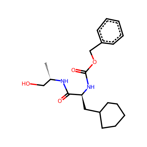 C[C@@H](CO)NC(=O)[C@H](CC1CCCCC1)NC(=O)OCc1ccccc1